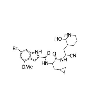 COc1cc(Br)cc2[nH]c(C(=O)NC(CC3CC3)C(=O)NC(C#N)CC3CCCNC3O)cc12